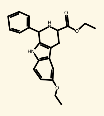 CCOC(=O)C1Cc2c([nH]c3ccc(OCC)cc23)C(c2ccccc2)N1